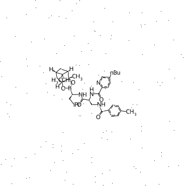 CCCCc1ccc(C(=O)N[C@@H](CNC(=O)c2ccc(C)cc2)C(=O)N[C@@H](CC(C)C)B2O[C@@H]3C[C@@H]4C[C@@H](C4(C)C)[C@]3(C)O2)nc1